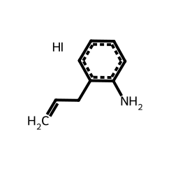 C=CCc1ccccc1N.I